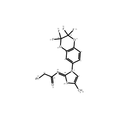 Cc1cn(-c2ccc3c(c2)OC(F)(F)C(F)(F)O3)/c(=N/C(=O)CC(C)C)s1